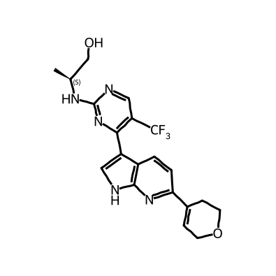 C[C@@H](CO)Nc1ncc(C(F)(F)F)c(-c2c[nH]c3nc(C4=CCOCC4)ccc23)n1